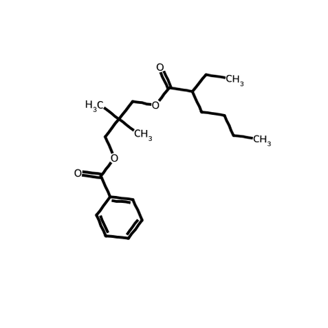 CCCCC(CC)C(=O)OCC(C)(C)COC(=O)c1ccccc1